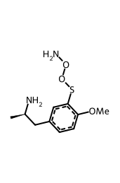 COc1ccc(C[C@@H](C)N)cc1SOON